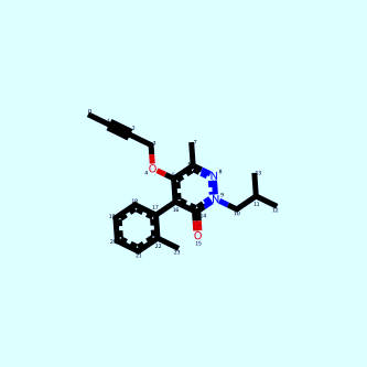 CC#CCOc1c(C)nn(CC(C)C)c(=O)c1-c1ccccc1C